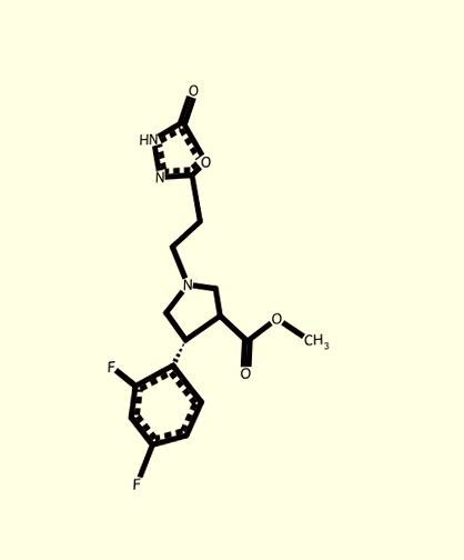 COC(=O)C1CN(CCc2n[nH]c(=O)o2)C[C@H]1c1ccc(F)cc1F